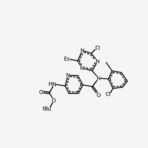 CCc1nc(Cl)nc(N(C(=O)c2ccc(NC(=O)OC(C)(C)C)nc2)c2c(C)cccc2Cl)n1